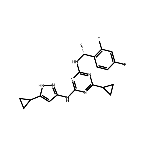 C[C@@H](Nc1nc(Nc2cc(C3CC3)[nH]n2)nc(C2CC2)n1)c1ccc(F)cc1F